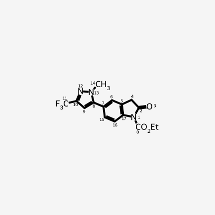 CCOC(=O)N1C(=O)Cc2cc(-c3cc(C(F)(F)F)nn3C)ccc21